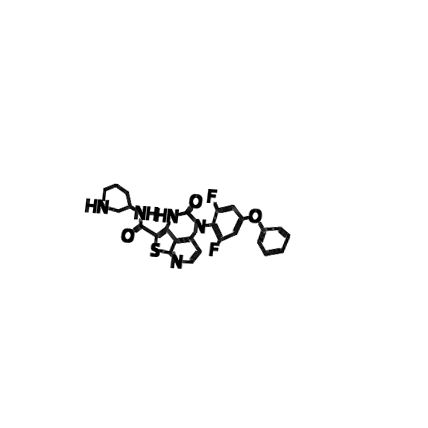 O=C(NC1CCCNC1)c1sc2nccc3c2c1NC(=O)N3c1c(F)cc(Oc2ccccc2)cc1F